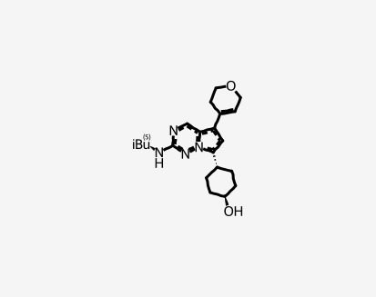 CC[C@H](C)Nc1ncc2c(C3=CCOCC3)cc([C@H]3CC[C@H](O)CC3)n2n1